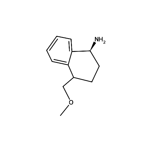 COCC1CC[C@H](N)c2ccccc21